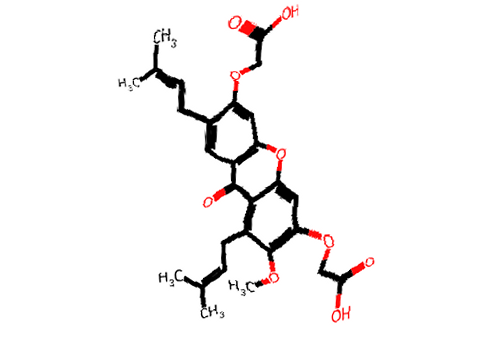 COc1c(OCC(=O)O)cc2oc3cc(OCC(=O)O)c(CC=C(C)C)cc3c(=O)c2c1CC=C(C)C